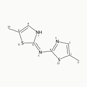 Cc1cnc(/N=c2\[nH]cc(C)s2)s1